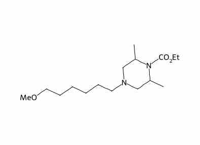 CCOC(=O)N1C(C)CN(CCCCCCOC)CC1C